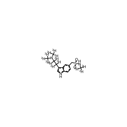 [2H]C([2H])([2H])NS(=O)(=O)Cc1ccc2[nH]cc(C([2H])([2H])C([2H])([2H])N(C([2H])([2H])[2H])C([2H])([2H])[2H])c2c1